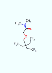 CN(C)C(=O)COCC(CC(F)(F)F)(CC(F)(F)F)CC(F)(F)F